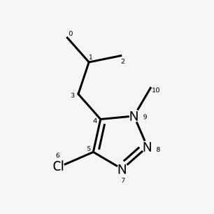 CC(C)Cc1c(Cl)nnn1C